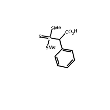 CSP(=S)(SC)C(C(=O)O)c1ccccc1